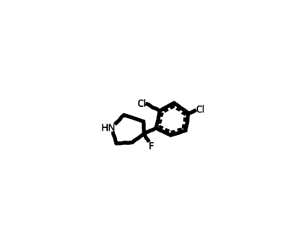 FC1(c2ccc(Cl)cc2Cl)CCNCC1